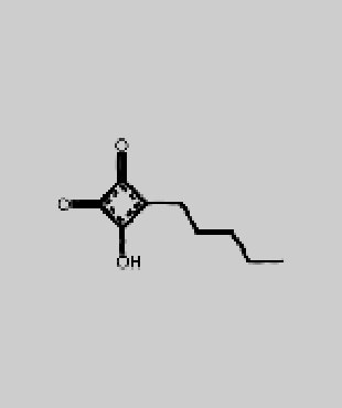 CCCCCc1c(O)c(=O)c1=O